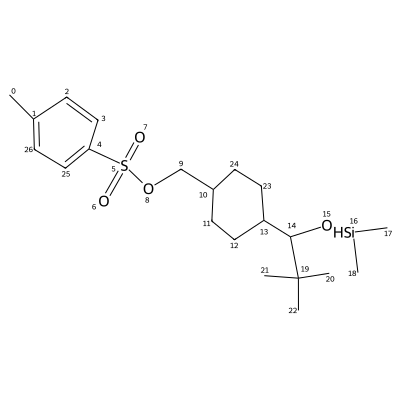 Cc1ccc(S(=O)(=O)OCC2CCC(C(O[SiH](C)C)C(C)(C)C)CC2)cc1